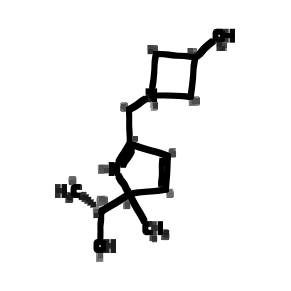 C[C@@H](O)C1(C)C=CC(CN2CC(O)C2)=N1